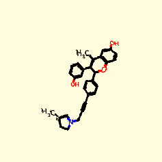 CC1=C(c2cccc(O)c2)C(c2ccc(C#CCN3CC[C@@H](C)C3)cc2)Oc2ccc(O)cc21